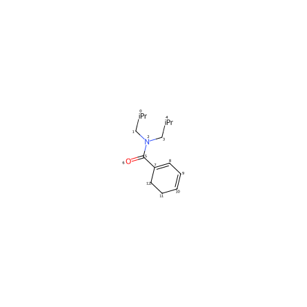 CC(C)CN(CC(C)C)C(=O)C1=CC=CC[CH]1